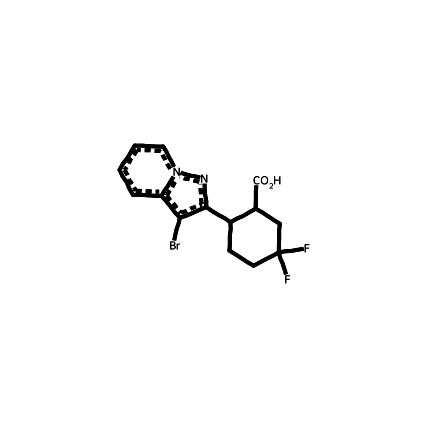 O=C(O)C1CC(F)(F)CCC1c1nn2ccccc2c1Br